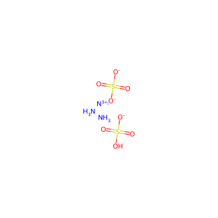 N.N.O=S(=O)([O-])O.O=S(=O)([O-])[O-].[N+3]